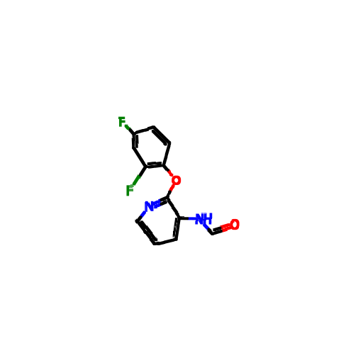 O=CNc1cccnc1Oc1ccc(F)cc1F